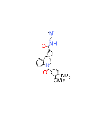 COc1cc(C(=O)N2CCC3(C=C(C(=O)NCCN(C)C)CC3)Cc3ccccc32)ccc1[N+](=O)[O-]